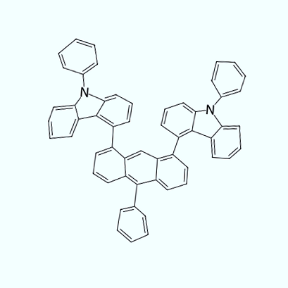 c1ccc(-c2c3cccc(-c4cccc5c4c4ccccc4n5-c4ccccc4)c3cc3c(-c4cccc5c4c4ccccc4n5-c4ccccc4)cccc23)cc1